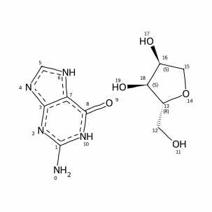 Nc1nc2nc[nH]c2c(=O)[nH]1.OC[C@H]1OC[C@H](O)[C@@H]1O